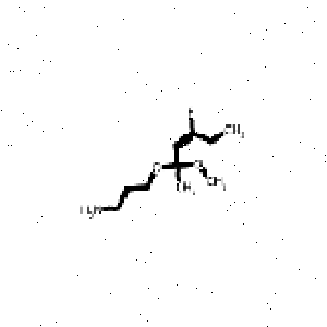 CC/C(F)=C\C(C)(OC)OCCCN